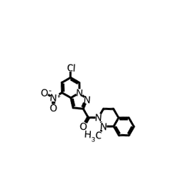 CN1c2ccccc2CCN1C(=O)c1cc2c([N+](=O)[O-])cc(Cl)cn2n1